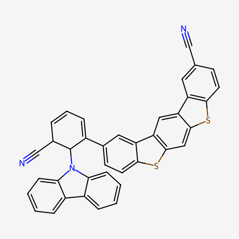 N#Cc1ccc2sc3cc4sc5ccc(C6=CC=CC(C#N)C6n6c7ccccc7c7ccccc76)cc5c4cc3c2c1